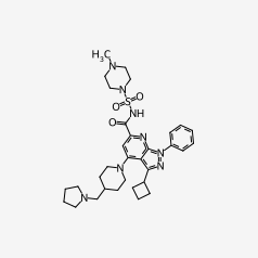 CN1CCN(S(=O)(=O)NC(=O)c2cc(N3CCC(CN4CCCC4)CC3)c3c(C4CCC4)nn(-c4ccccc4)c3n2)CC1